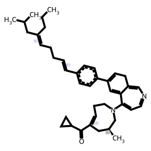 CCC/C(=C\CC/C=C/c1ccc(C2=CCC3=CN=CC=C(N4CC/C=C(\C(=O)C5CC5)C[C@H](C)C4)C3=C2)cc1)CC(C)C